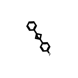 Fc1ccc(C23CC(c4ccccc4)(C2)C3)cc1